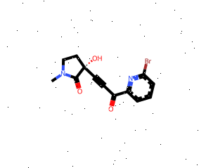 CN1CC[C@@](O)(C#CC(=O)c2cccc(Br)n2)C1=O